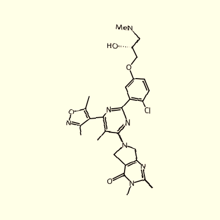 CNC[C@@H](O)COc1ccc(Cl)c(-c2nc(-c3c(C)noc3C)c(C)c(N3Cc4nc(C)n(C)c(=O)c4C3)n2)c1